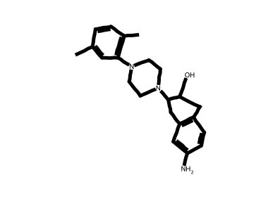 Cc1ccc(C)c(N2CCN(C3Cc4cc(N)ccc4CC3O)CC2)c1